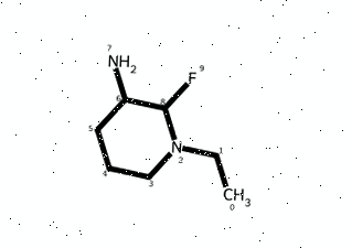 CCN1CCCC(N)C1F